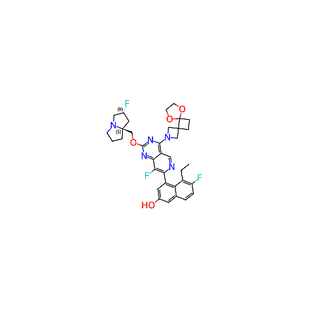 CCc1c(F)ccc2cc(O)cc(-c3ncc4c(N5CC6(CCC67OCCO7)C5)nc(OC[C@@]56CCCN5C[C@H](F)C6)nc4c3F)c12